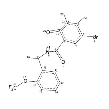 Cc1c(Br)cc(C(=O)NC(C)c2ccccc2OC(F)(F)F)c(=O)n1C